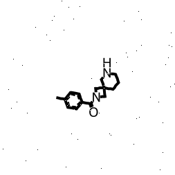 Cc1ccc(C(=O)N2CC3(CCCNC3)C2)cc1